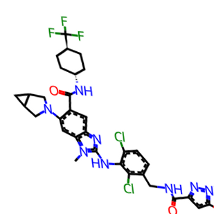 Cn1c(Nc2c(Cl)ccc(CNC(=O)c3cc(O)[nH]n3)c2Cl)nc2cc(C(=O)N[C@H]3CC[C@H](C(F)(F)F)CC3)c(N3CC4CC4C3)cc21